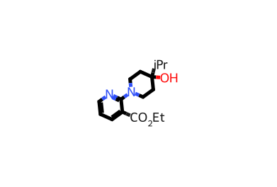 CCOC(=O)c1cccnc1N1CCC(O)(C(C)C)CC1